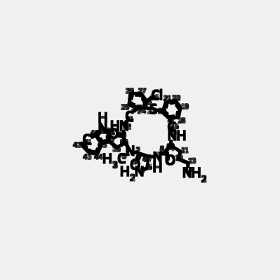 CN1C(=O)[C@H](CN)NC(=O)[C@H](CCCN)NCc2ccccc2Sc2c(Cl)cccc2CNC(=O)[C@@H]1Cc1c[nH]c2ccccc12